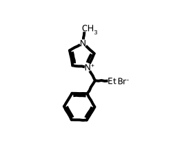 CCC(c1ccccc1)[n+]1ccn(C)c1.[Br-]